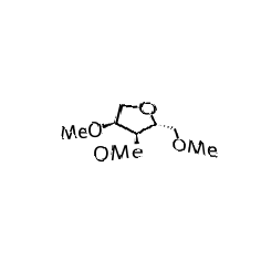 COC[C@H]1OC[C@H](OC)[C@@H]1OC